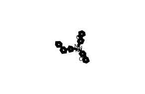 c1ccc(-c2cccc(-c3ccc(-c4nc(-c5ccc6c(c5)oc5ccccc56)nc(-c5ccc6c(c5)oc5ccccc56)n4)cc3)c2)cc1